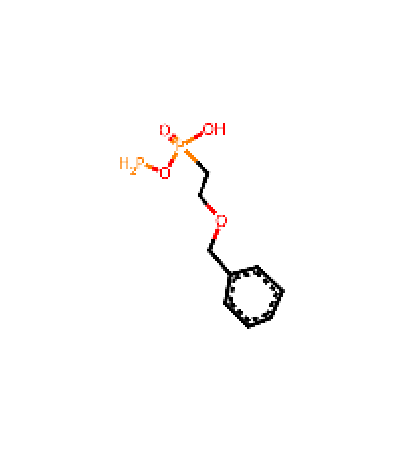 O=P(O)(CCOCc1ccccc1)OP